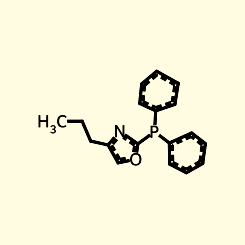 CCCc1coc(P(c2ccccc2)c2ccccc2)n1